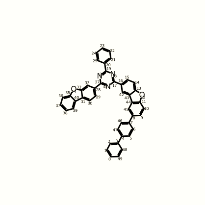 c1ccc(-c2ccc(-c3ccc4oc5ccc(-c6nc(-c7ccccc7)nc(-c7ccc8c(c7)oc7ccccc78)n6)cc5c4c3)cc2)cc1